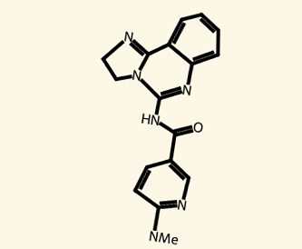 CNc1ccc(C(=O)NC2=Nc3ccccc3C3=NCCN23)cn1